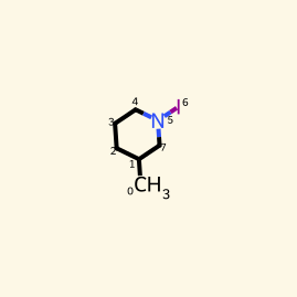 CC1CCCN(I)C1